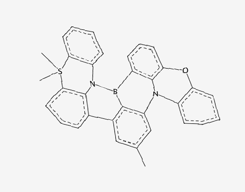 Cc1cc2c3c(c1)N1c4ccccc4Oc4cccc(c41)B3N1c3ccccc3S(C)(C)c3cccc-2c31